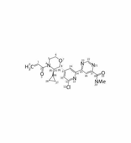 C=CC(=O)N1CCO[C@H](c2cc(Cl)nc(-c3cc(C(=O)NC)ncn3)c2)[C@H]1C1CC1